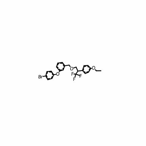 CCOc1ccc(C(COCc2cccc(Oc3ccc(Br)cc3)c2)C(F)(F)F)cc1